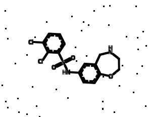 O=S(=O)(Nc1ccc2c(c1)CNCCO2)c1cccc(Cl)c1Cl